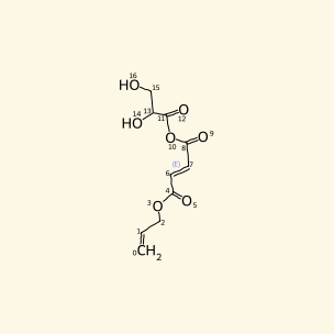 C=CCOC(=O)/C=C/C(=O)OC(=O)C(O)CO